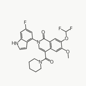 COc1cc2c(C(=O)N3CCCCC3)cn(-c3cc(F)cc4[nH]ccc34)c(=O)c2cc1OC(F)F